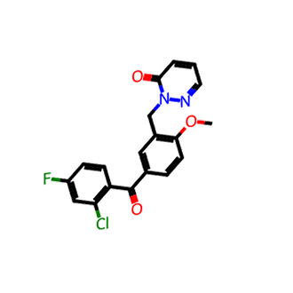 COc1ccc(C(=O)c2ccc(F)cc2Cl)cc1Cn1ncccc1=O